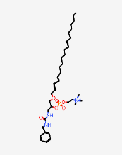 CCCCCCCCCCCCCCCCCCCCOCC(CNC(=O)NCc1ccccc1)OP(=O)([O-])OCC[N+](C)(C)C